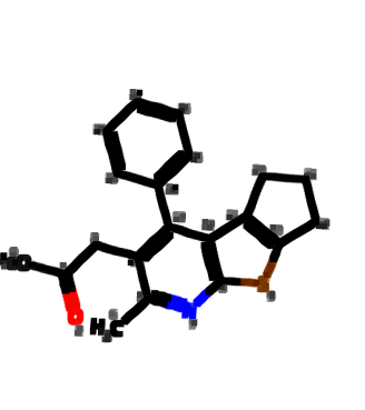 COC(=O)Cc1c(C)nc2sc3c(c2c1-c1ccccc1)CCC3